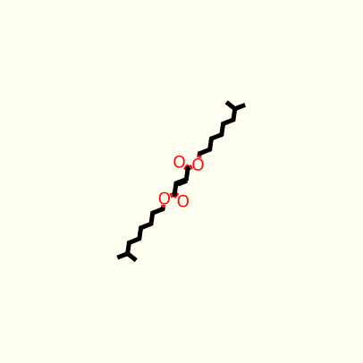 CC(C)CCCCCCOC(=O)C=CC(=O)OCCCCCCC(C)C